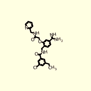 CCc1cc(Cl)cc(C(=O)NCc2ccc(C(=N)N)cc2OCC(=O)NCc2ccccn2)c1